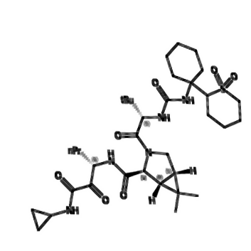 CCC[C@H](NC(=O)[C@@H]1[C@@H]2[C@H](CN1C(=O)[C@@H](NC(=O)NC1(C3CCCCS3(=O)=O)CCCCC1)C(C)(C)C)C2(C)C)C(=O)C(=O)NC1CC1